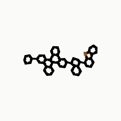 c1ccc(-c2ccc3c(c2)c2ccccc2c2c4ccc(-c5ccc(-c6cccc7c6sc6ccccc67)c6ccccc56)cc4c4ccccc4c32)cc1